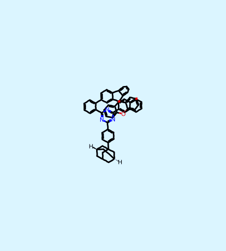 c1ccc2c(c1)Oc1ccccc1C21c2ccccc2-c2ccc(-c3ccccc3-c3nc(-c4ccc(C56CC7C[C@H](C5)C[C@H](C7)C6)cc4)nc(-c4ccc5ccccc5c4)n3)cc21